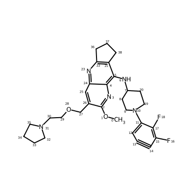 COc1nc2c(NC3CCN(c4cc#cc(F)c4F)CC3)c3c(nc2cc1COCCN1CCCC1)CCC3